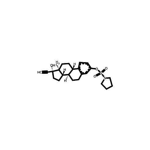 C#C[C@]1(O)CC[C@H]2[C@@H]3CCc4cc(OS(=O)(=O)N5CCCC5)ccc4[C@H]3CC[C@@]21C